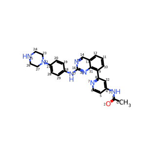 CC(=O)Nc1ccnc(-c2cccc3cnc(Nc4ccc(N5CCNCC5)cc4)nc23)c1